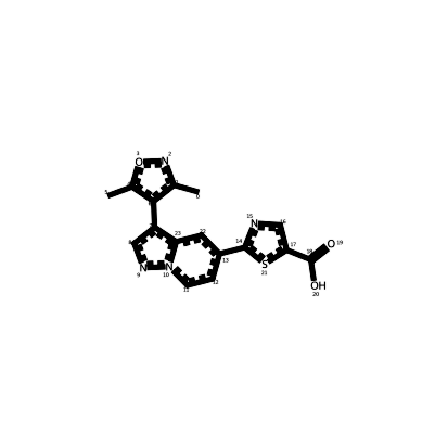 Cc1noc(C)c1-c1cnn2ccc(-c3ncc(C(=O)O)s3)cc12